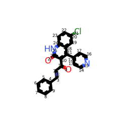 O=C(/C=C/c1ccccc1)c1c(-c2ccncc2)c2cc(Cl)ccc2[nH]c1=O